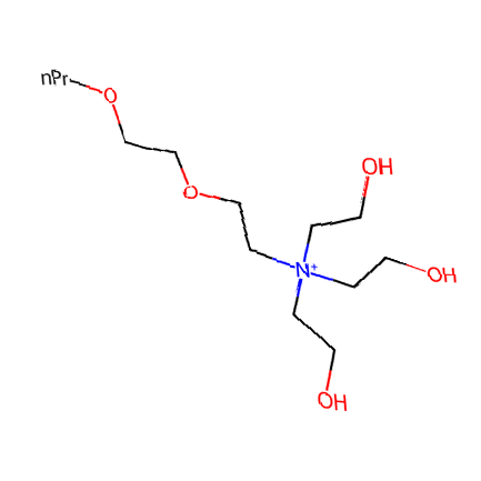 CCCOCCOCC[N+](CCO)(CCO)CCO